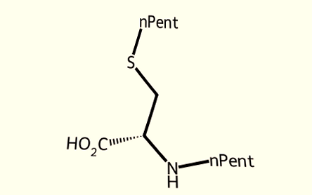 CCCCCN[C@@H](CSCCCCC)C(=O)O